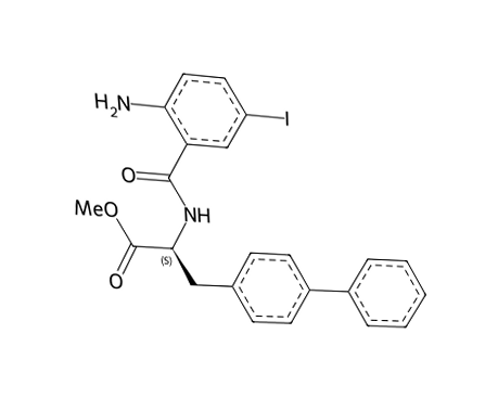 COC(=O)[C@H](Cc1ccc(-c2ccccc2)cc1)NC(=O)c1cc(I)ccc1N